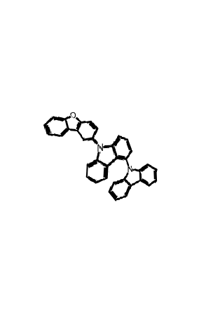 C1=CC(n2c3ccccc3c3c(-n4c5ccccc5c5ccccc54)cccc32)Cc2c1oc1ccccc21